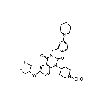 O=CN1CCC(n2c(=O)n(Cc3cccc(N4CCCCC4)c3)c(=O)c3cc(OC(CF)CF)ccc32)CC1